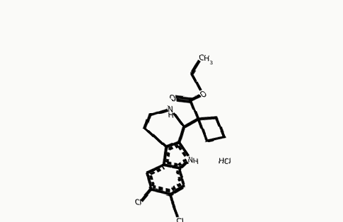 CCOC(=O)C1(C2NCCc3c2[nH]c2cc(Cl)c(Cl)cc32)CCC1.Cl